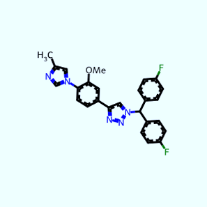 COc1cc(-c2cn(C(c3ccc(F)cc3)c3ccc(F)cc3)nn2)ccc1-n1cnc(C)c1